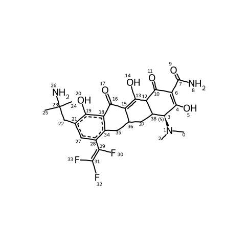 CN(C)[C@@H]1C(O)=C(C(N)=O)C(=O)C2C(O)=C3C(=O)c4c(O)c(CC(C)(C)N)cc(C(F)=C(F)F)c4CC3CC21